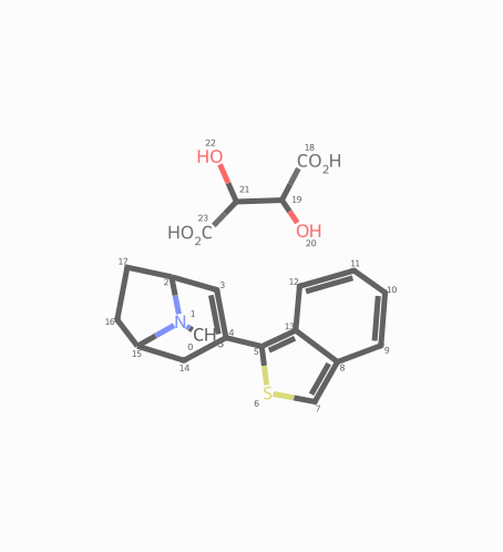 CN1C2C=C(c3scc4ccccc34)CC1CC2.O=C(O)C(O)C(O)C(=O)O